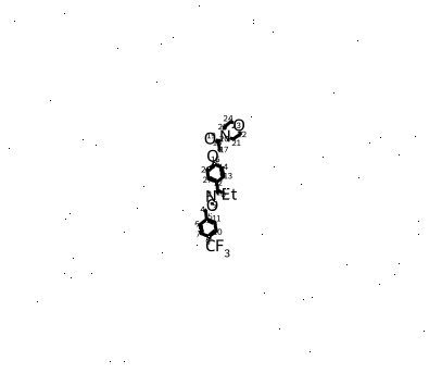 CC/C(=N\OCc1ccc(C(F)(F)F)cc1)c1ccc(OCC(=O)N2CCOCC2)cc1